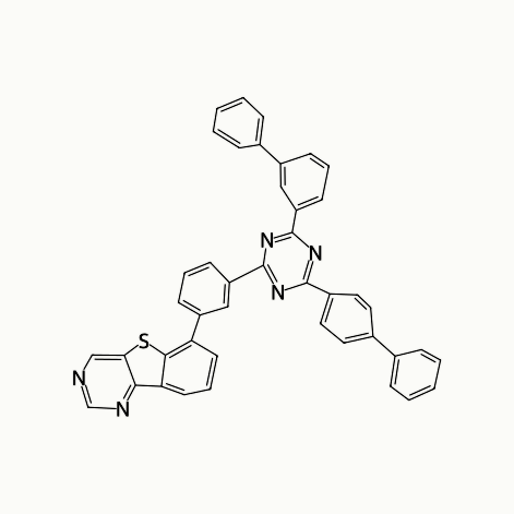 c1ccc(-c2ccc(-c3nc(-c4cccc(-c5ccccc5)c4)nc(-c4cccc(-c5cccc6c5sc5cncnc56)c4)n3)cc2)cc1